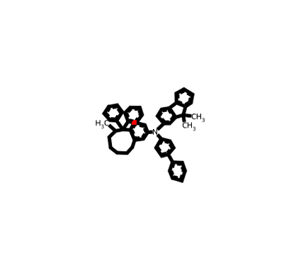 CC1CCCCCc2cc(N(c3ccc(-c4ccccc4)cc3)c3ccc4c(c3)C(C)(C)c3ccccc3-4)ccc2C1(c1ccccc1)c1ccccc1